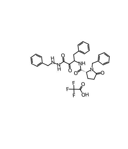 O=C(NNCc1ccccc1)C(=O)C(Cc1ccccc1)NC(=O)[C@H]1CCC(=O)N1Cc1ccccc1.O=C(O)C(F)(F)F